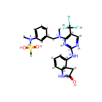 CN(Cc1cccc(N(C)S(C)(=O)=O)c1)c1nc(Nc2cccc3c2CC(=O)N3)ncc1C(F)(F)F